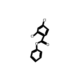 O=C(Oc1ccccc1)c1ccc(Cl)cc1Cl